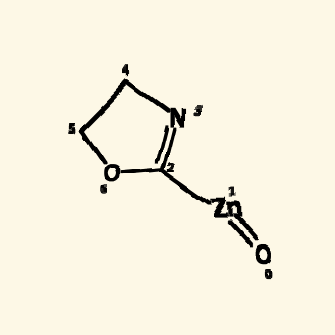 [O]=[Zn][C]1=NCCO1